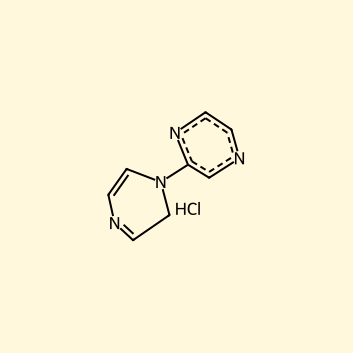 C1=CN(c2cnccn2)CC=N1.Cl